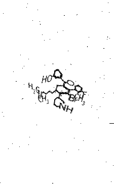 Cc1c(F)cccc1C1=C(C(=O)c2cccc(O)c2)C[C](CCCCN(C)C)C([C@@H]2CCCNC2)=C1Br